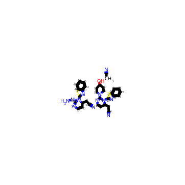 CC#N.N#CCC1C=CN=C(N2CCC(O)CC2)N1c1nc2ccccc2s1.N#CCC1C=CN=C(NN)N1c1nc2ccccc2s1